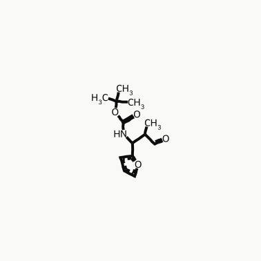 CC(C=O)C(NC(=O)OC(C)(C)C)c1ccco1